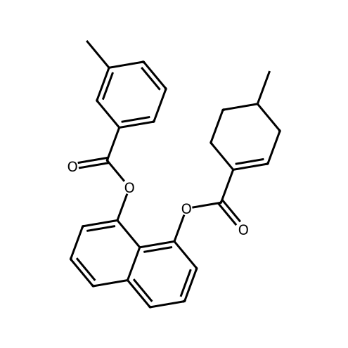 Cc1cccc(C(=O)Oc2cccc3cccc(OC(=O)C4=CCC(C)CC4)c23)c1